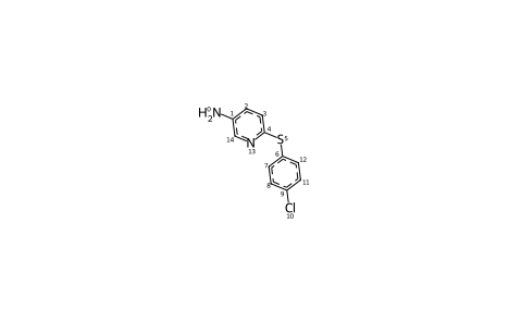 Nc1ccc(Sc2ccc(Cl)cc2)nc1